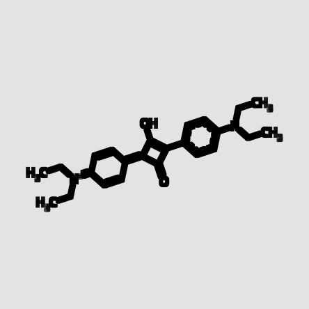 CCN(CC)c1ccc(C2=C(O)C(=C3C=CC(=[N+](CC)CC)C=C3)C2=O)cc1